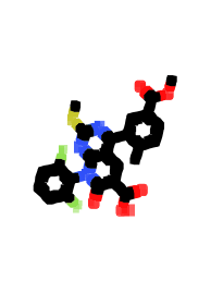 COC(=O)c1ccc(C)c(-c2nc(SC)nc3c2cc(C(=O)O)c(=O)n3-c2c(F)cccc2F)c1